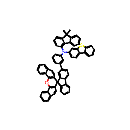 CC1(C)c2ccccc2-c2c(N(c3cccc(-c4ccc5c(c4)C4(c6ccccc6-5)c5ccc6ccccc6c5Oc5c4ccc4ccccc54)c3)c3ccc4c(c3)sc3ccccc34)cccc21